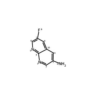 Nc1cnc2ncc(F)cc2c1